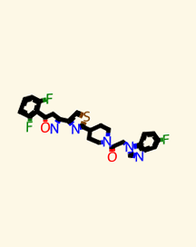 O=C(Cn1cnc2cc(F)ccc21)N1CCC(c2nc(C3=NOC(c4c(F)cccc4F)C3)cs2)CC1